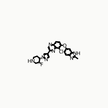 Cc1nc2ccc(Oc3ccc4ncc(-c5cnn([C@H]6CCNC[C@@H]6F)c5)nc4c3Cl)cc2[nH]1